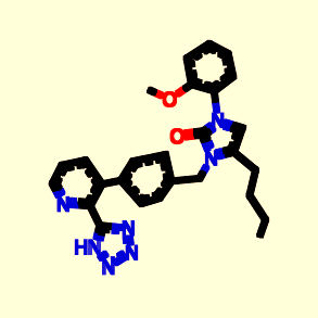 CCCCc1cn(-c2ccccc2OC)c(=O)n1Cc1ccc(-c2cccnc2-c2nnn[nH]2)cc1